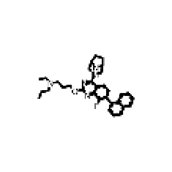 CCCN(CC)CCCOc1nc(N2CC3CCC(C2)N3)c2ccc(-c3cccc4ccccc34)c(F)c2n1